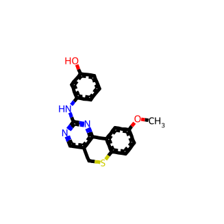 COc1ccc2c(c1)-c1nc(Nc3cccc(O)c3)ncc1CS2